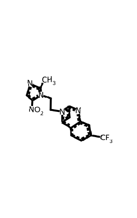 Cc1ncc([N+](=O)[O-])n1CCn1c2cc1c1ccc(C(F)(F)F)cc1n2